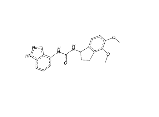 COc1ccc2c(c1OC)CCC2NC(=O)Nc1cccc2[nH]ncc12